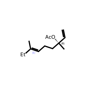 C=C[C@@](C)(CC/C=C(\C)CC)OC(C)=O